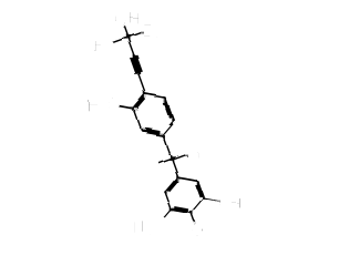 CCC(O)(C#Cc1ccc(C(CC)(CC)c2cc(C)c(O)c(C)c2)cc1C)CC